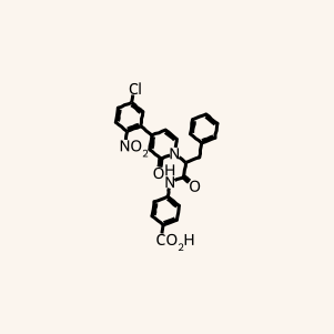 O=C(O)c1ccc(NC(=O)C(Cc2ccccc2)n2ccc(-c3cc(Cl)ccc3[N+](=O)[O-])cc2=O)cc1